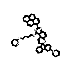 C1=CC(c2ccccc2)(c2ccc(N3CCCCC3)cc2)Oc2ccc3nc(-c4ccc5ccc6cccc7ccc4c5c67)nc(OCCCCOC4CCCCO4)c3c21